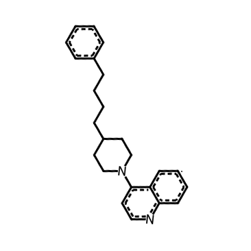 [c]1ccc2nccc(N3CCC(CCCCc4ccccc4)CC3)c2c1